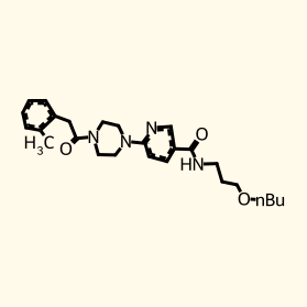 CCCCOCCCNC(=O)c1ccc(N2CCN(C(=O)Cc3ccccc3C)CC2)nc1